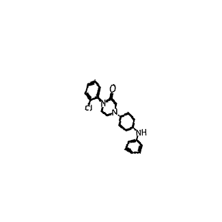 O=C1CN([C@H]2CC[C@H](Nc3ccccc3)CC2)CCN1c1ccccc1Cl